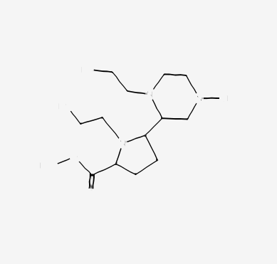 COC(=O)C1CCC(C2CN(C)CCN2CCS)N1CCS